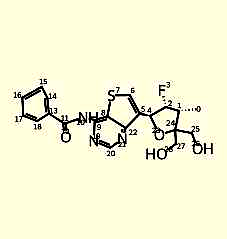 C[C@H]1[C@@H](F)[C@H](c2csc3c(NC(=O)c4ccccc4)ncnc23)OC1(CO)CO